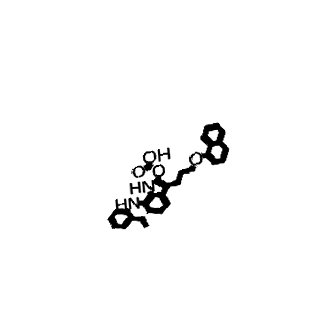 CCc1ccccc1Nc1cccc2c(CCCOc3cccc4ccccc34)c(OC(=O)O)[nH]c12